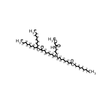 CCCCCCCCCOC(=O)CCCCCCCN(CCCCCCCC(=O)OC(CCCCCCCC)CCCCCCCC)CCCNC(=O)COC